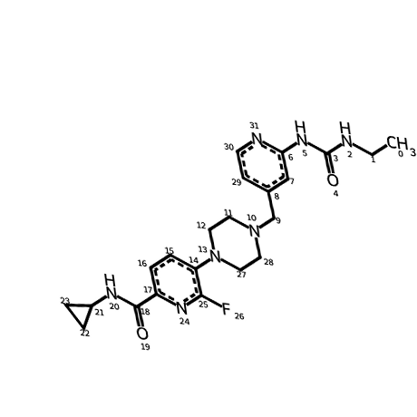 CCNC(=O)Nc1cc(CN2CCN(c3ccc(C(=O)NC4CC4)nc3F)CC2)ccn1